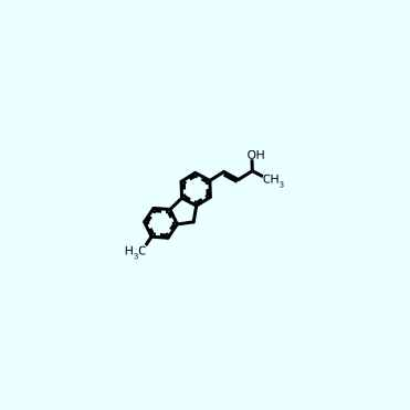 Cc1ccc2c(c1)Cc1cc(C=CC(C)O)ccc1-2